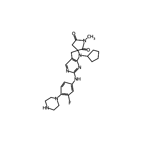 CN1C(=O)CC2(Cc3cnc(Nc4ccc(N5CCNCC5)c(F)c4)nc3N2C2CCCC2)C1=O